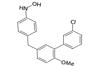 COc1ccc(Cc2ccc(NO)cc2)cc1-c1cccc(Cl)c1